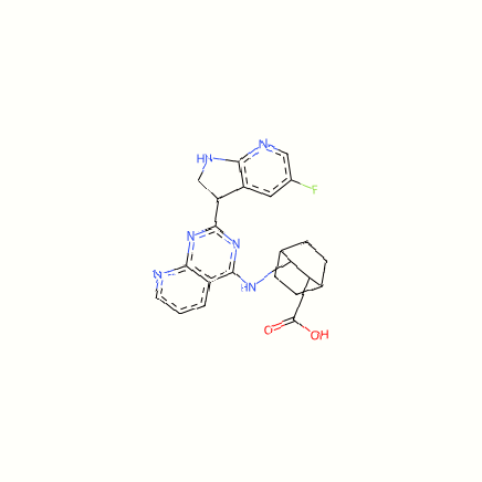 O=C(O)C1C2CCC(CC2)C1Nc1nc(C2CNc3ncc(F)cc32)nc2ncccc12